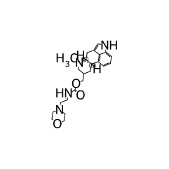 CN1CC(COC(=O)NCCN2CCOCC2)C[C@H]2c3cccc4[nH]cc(c34)C[C@@H]21